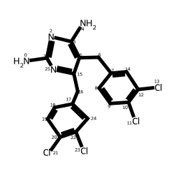 Nc1nc(N)c(Cc2ccc(Cl)c(Cl)c2)c(Cc2ccc(Cl)c(Cl)c2)n1